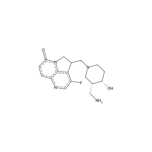 NC[C@@H]1CN(CC2Cn3c(=O)ccc4ncc(F)c2c43)CC[C@@H]1O